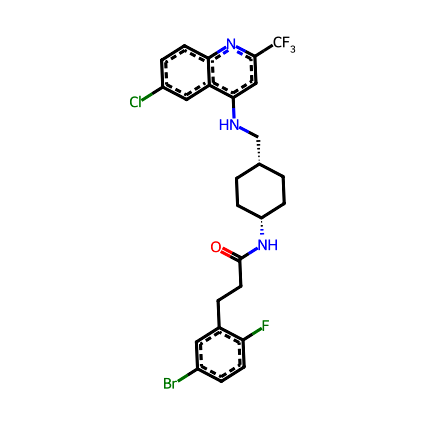 O=C(CCc1cc(Br)ccc1F)N[C@H]1CC[C@@H](CNc2cc(C(F)(F)F)nc3ccc(Cl)cc23)CC1